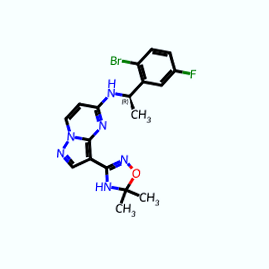 C[C@@H](Nc1ccn2ncc(C3=NOC(C)(C)N3)c2n1)c1cc(F)ccc1Br